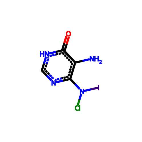 Nc1c(N(Cl)I)nc[nH]c1=O